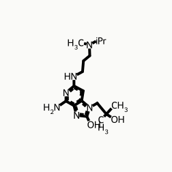 CC(C)N(C)CCCNc1cc2c(nc(O)n2CC(C)(C)O)c(N)n1